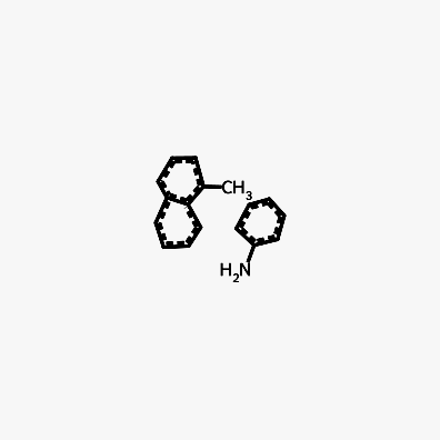 Cc1cccc2ccccc12.Nc1ccccc1